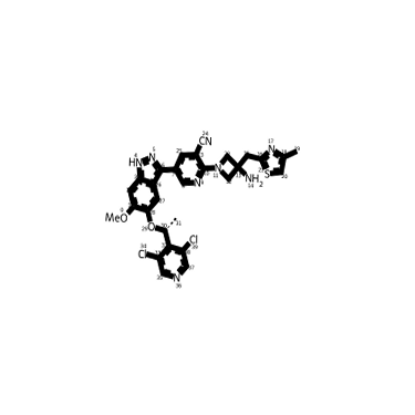 COc1cc2[nH]nc(-c3cnc(N4CC(N)(Cc5nc(C)cs5)C4)c(C#N)c3)c2cc1O[C@H](C)c1c(Cl)cncc1Cl